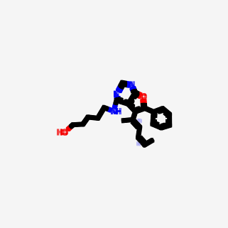 C/C=C\C=C(/C)c1c(-c2ccccc2)oc2ncnc(NCCCCCO)c12